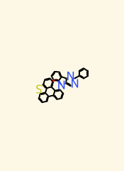 c1ccc(-c2ncc3c(n2)c2ccccc2n3-c2cccc3c4cccc5sc6cccc(c23)c6c54)cc1